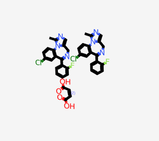 Cc1ncc2n1-c1ccc(Cl)cc1C(c1ccccc1F)=NC2.Cc1ncc2n1-c1ccc(Cl)cc1C(c1ccccc1F)=NC2.O=C(O)/C=C\C(=O)O